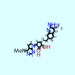 CNc1ncnc2c1ccn2[C@@H]1C[C@H](CCc2ccc3cc(C(F)(F)F)c(N)nc3c2)[C@@H](O)[C@H]1O